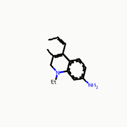 C/C=C\C1=C(C)CN(CC)c2cc(N)ccc21